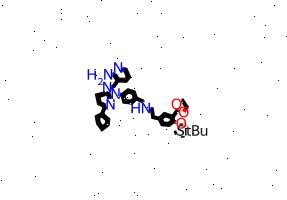 CC(C)(C)[Si](C)(C)Oc1ccc(CCNCc2ccc(-n3c(-c4cccnc4N)nc4ccc(-c5ccccc5)nc43)cc2)cc1C1OCCO1